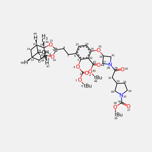 CC(C)(C)OC(=O)Oc1c(CCB2O[C@@H]3C[C@@H]4C[C@@H](C4(C)C)[C@]3(C)O2)ccc(OC2CN(C(=O)CC3CCN(C(=O)OC(C)(C)C)C3)C2)c1C(=O)OC(C)(C)C